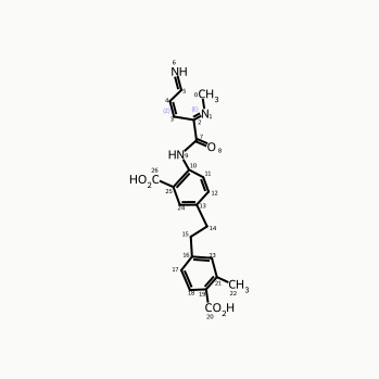 C/N=C(\C=C/C=N)C(=O)Nc1ccc(CCc2ccc(C(=O)O)c(C)c2)cc1C(=O)O